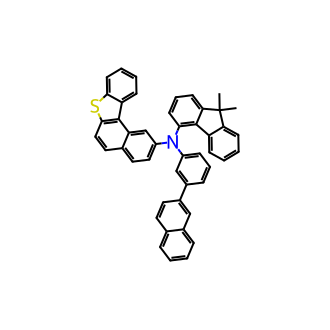 CC1(C)c2ccccc2-c2c(N(c3cccc(-c4ccc5ccccc5c4)c3)c3ccc4ccc5sc6ccccc6c5c4c3)cccc21